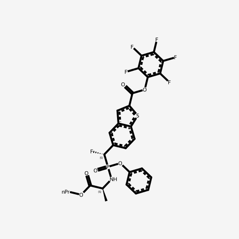 CCCOC(=O)[C@H](C)NP(=O)(Oc1ccccc1)[C@H](F)c1ccc2sc(C(=O)Oc3c(F)c(F)c(F)c(F)c3F)cc2c1